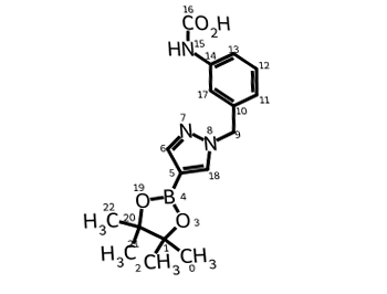 CC1(C)OB(c2cnn(Cc3cccc(NC(=O)O)c3)c2)OC1(C)C